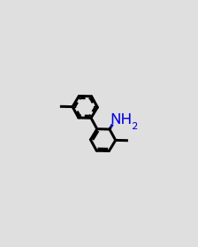 Cc1cccc(C2=CC=CC(C)C2N)c1